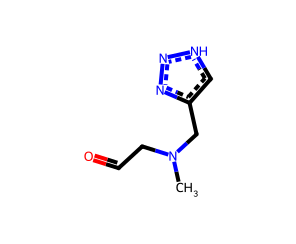 CN(CC=O)Cc1c[nH]nn1